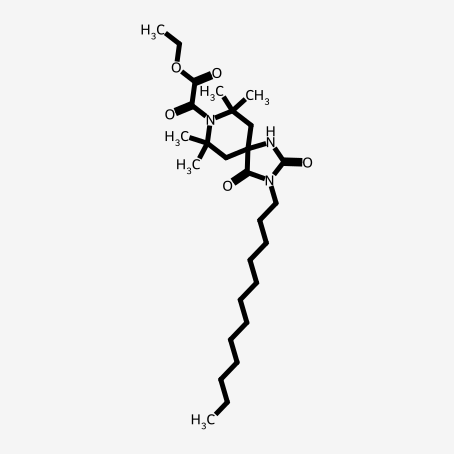 CCCCCCCCCCCCN1C(=O)NC2(CC(C)(C)N(C(=O)C(=O)OCC)C(C)(C)C2)C1=O